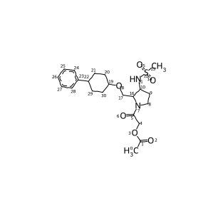 CC(=O)OCC(=O)N1CCC(NS(C)(=O)=O)C1COC1CCC(c2ccccc2)CC1